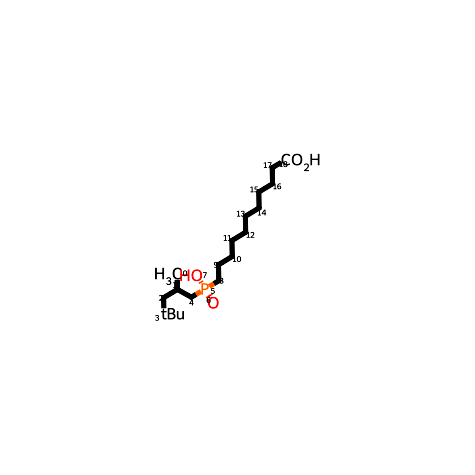 CC(CC(C)(C)C)CP(=O)(O)CCCCCCCCCCC(=O)O